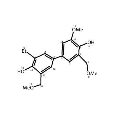 CCc1cc(-c2cc(COC)c(O)c(OC)c2)cc(COC)c1O